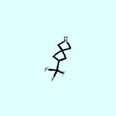 FC(F)(F)C1CC2(CNC2)C1